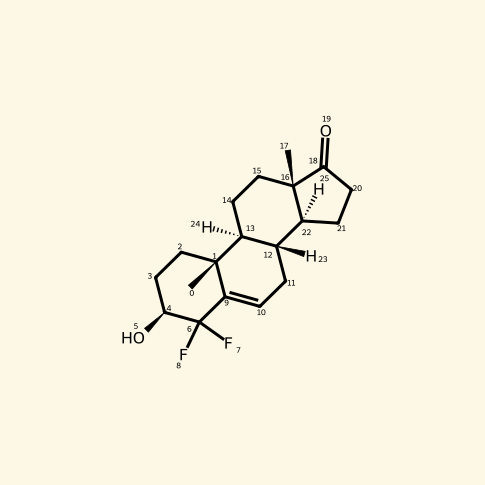 C[C@]12CC[C@H](O)C(F)(F)C1=CC[C@@H]1[C@@H]2CC[C@]2(C)C(=O)CC[C@@H]12